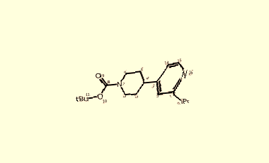 CC(C)c1cc(C2CCN(C(=O)OC(C)(C)C)CC2)ccn1